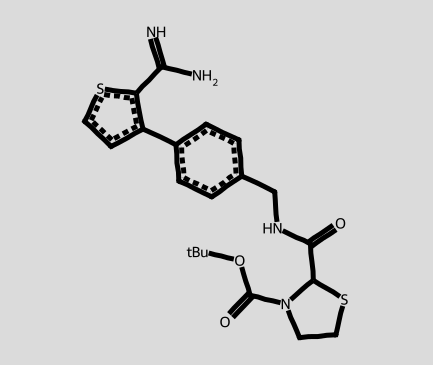 CC(C)(C)OC(=O)N1CCSC1C(=O)NCc1ccc(-c2ccsc2C(=N)N)cc1